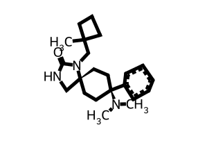 CN(C)[C@]1(c2ccccc2)CC[C@@]2(CC1)CNC(=O)N2CC1(C)CCC1